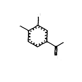 C=C(O)c1ccc(Cl)c(C)c1